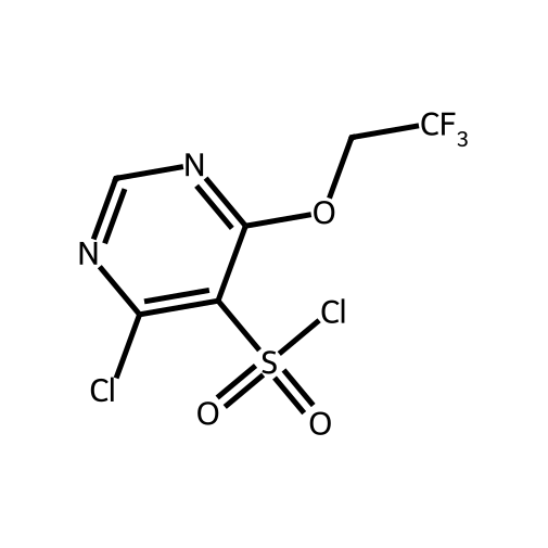 O=S(=O)(Cl)c1c(Cl)ncnc1OCC(F)(F)F